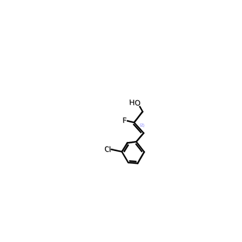 OC/C(F)=C/c1cccc(Cl)c1